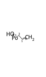 C=C[CH2][Po][OH]